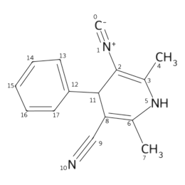 [C-]#[N+]C1=C(C)NC(C)=C(C#N)C1c1ccccc1